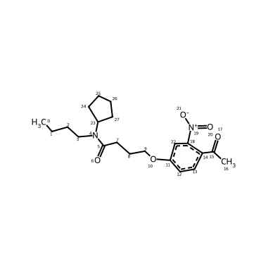 CCCCN(C(=O)CCCOc1ccc(C(C)=O)c([N+](=O)[O-])c1)C1CCCC1